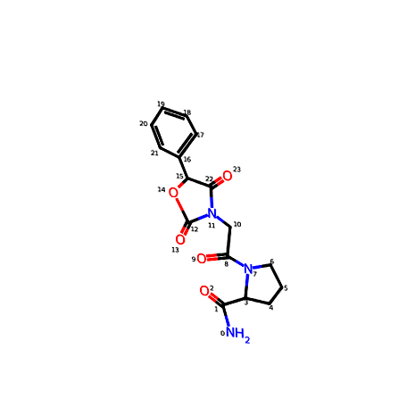 NC(=O)C1CCCN1C(=O)CN1C(=O)OC(c2ccccc2)C1=O